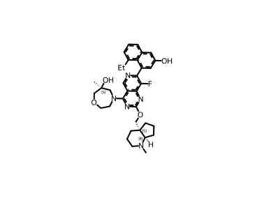 CCc1cccc2cc(O)cc(-c3ncc4c(N5CCOC[C@@](C)(O)C5)nc(OC[C@]56CCC[C@H]5N(C)CCC6)nc4c3F)c12